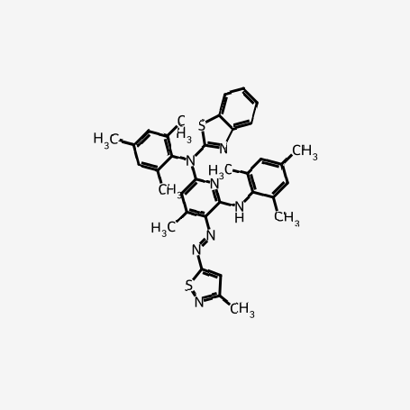 Cc1cc(C)c(Nc2nc(N(c3nc4ccccc4s3)c3c(C)cc(C)cc3C)cc(C)c2N=Nc2cc(C)ns2)c(C)c1